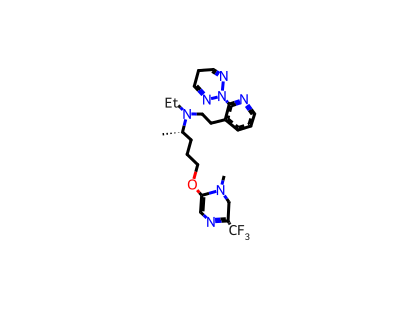 CCN(CCc1cccnc1N1N=CCC=N1)[C@@H](C)CCCOC1=CN=C(C(F)(F)F)CN1C